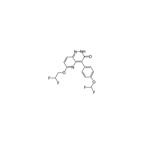 O=c1[nH]nc2ccc(OCC(F)F)nc2c1-c1ccc(OC(F)F)cc1